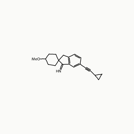 COC1CCC2(CC1)Cc1ccc(C#CC3CC3)cc1C2=N